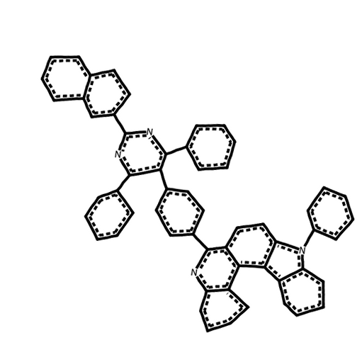 c1ccc(-c2nc(-c3ccc4ccccc4c3)nc(-c3ccccc3)c2-c2ccc(-c3nc4ccccc4c4c3ccc3c4c4ccccc4n3-c3ccccc3)cc2)cc1